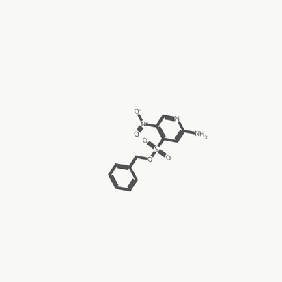 Nc1cc(S(=O)(=O)OCc2ccccc2)c([N+](=O)[O-])cn1